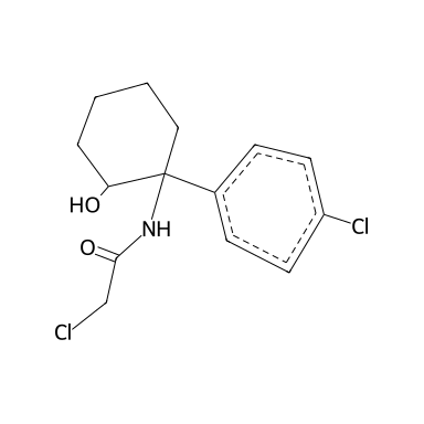 O=C(CCl)NC1(c2ccc(Cl)cc2)CCCCC1O